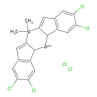 C[Si]1(C)C2=Cc3cc(Cl)c(Cl)cc3[CH]2[Zr+2][CH]2C1=Cc1cc(Cl)c(Cl)cc12.[Cl-].[Cl-]